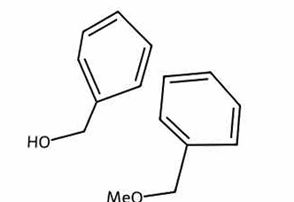 COCc1ccccc1.OCc1ccccc1